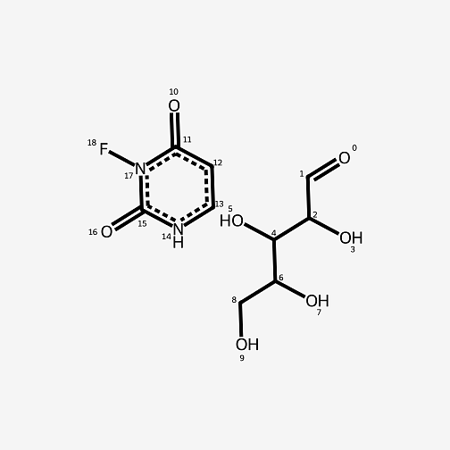 O=CC(O)C(O)C(O)CO.O=c1cc[nH]c(=O)n1F